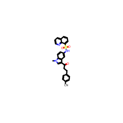 Cn1cc(C(=O)CCc2ccc(C#N)cc2)c2cc(NS(=O)(=O)c3cccc4cccnc34)ccc21